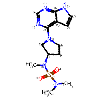 CN(C)S(=O)(=O)N(C)[C@@H]1CCN(c2ncnc3[nH]ccc23)C1